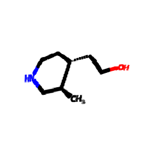 C[C@H]1CNCC[C@@H]1CCO